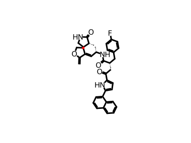 C=C1OCC/C1=C\[C@H](C[C@@H]1CCNC1=O)NC(=O)[C@@H](CC(=O)c1ccc(-c2cccc3ccccc23)[nH]1)Cc1ccc(F)cc1